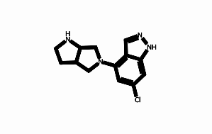 Clc1cc(N2CC3CCNC3C2)c2cn[nH]c2c1